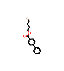 O=C(OCCCCBr)c1ccc(-c2ccccc2)cc1